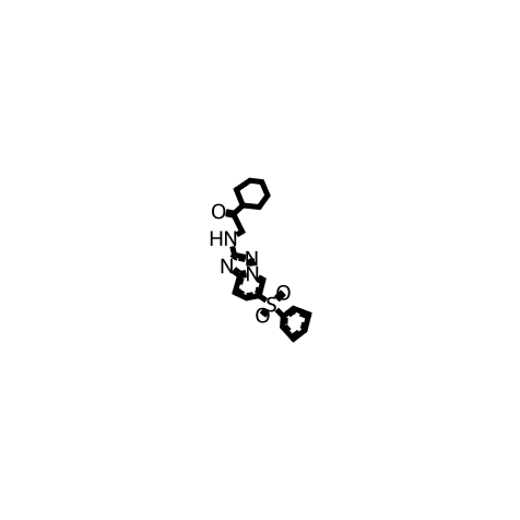 O=C(CNc1nc2ccc(S(=O)(=O)c3ccccc3)cn2n1)C1CCCCC1